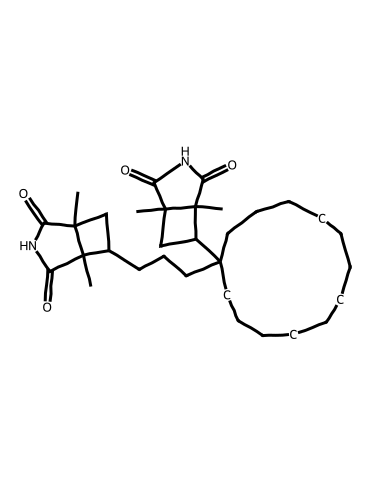 CC12CC(CCCC3(C4CC5(C)C(=O)NC(=O)C45C)CCCCCCCCCCCC3)C1(C)C(=O)NC2=O